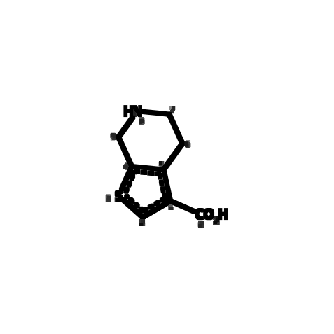 O=C(O)c1csc2c1CCNC2